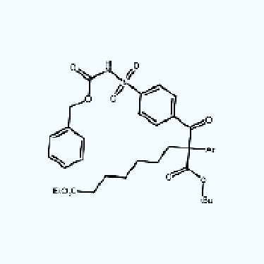 CCOC(=O)CCCCCCC(C(C)=O)(C(=O)OC(C)(C)C)C(=O)c1ccc(S(=O)(=O)NC(=O)OCc2ccccc2)cc1